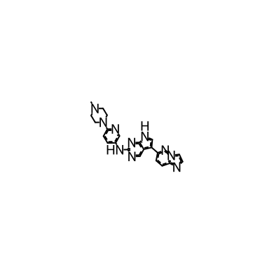 CN1CCN(c2ccc(Nc3ncc4c(-c5ccc6nccn6n5)c[nH]c4n3)cn2)CC1